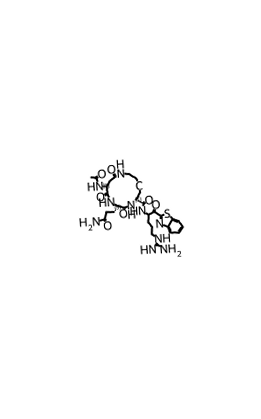 CC(=O)N[C@H]1CC(=O)NCCCC[C@@H](C(=O)NC(CCCNC(=N)N)C(=O)c2nc3ccccc3s2)NC(=O)[C@H](CCC(N)=O)NC1=O